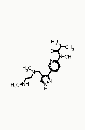 CNCCN(C)Cc1c[nH]nc1-c1ccc(N(C)C(=O)C(C)C)nc1